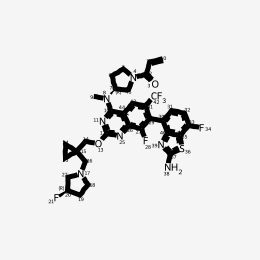 C=CC(=O)N1CC[C@@H](N(C)c2nc(OCC3(CN4CC[C@@H](F)C4)CC3)nc3c(F)c(-c4ccc(F)c5sc(N)nc45)c(C(F)(F)F)cc23)C1